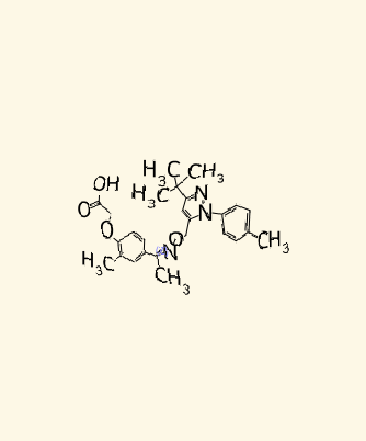 C/C(=N/OCc1cc(C(C)(C)C)nn1-c1ccc(C)cc1)c1ccc(OCC(=O)O)c(C)c1